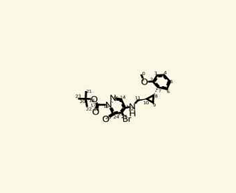 COc1ccccc1[C@@H]1C[C@H]1CNc1cnn(C(=O)OC(C)(C)C)c(=O)c1Br